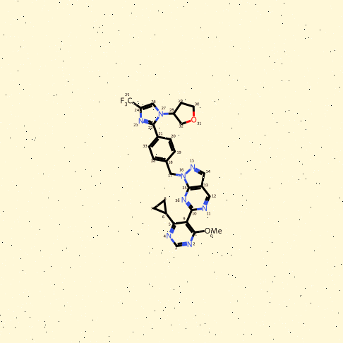 COc1ncnc(C2CC2)c1-c1ncc2cnn(Cc3ccc(-c4nc(C(F)(F)F)cn4C4CCOC4)cc3)c2n1